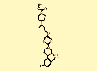 CC(C)OC(=O)N1CCC(C(C)CCOc2cnc(N3CCC(c4cc(F)ccc4F)C(N)C3)nc2)CC1